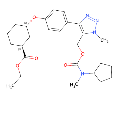 CCOC(=O)[C@H]1CCC[C@H](Oc2ccc(-c3nnn(C)c3COC(=O)N(C)C3CCCC3)cc2)C1